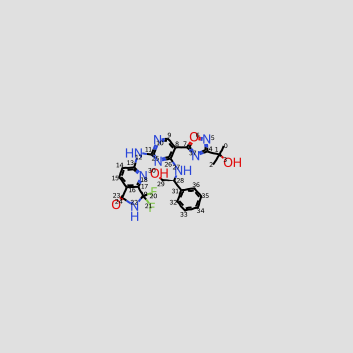 CC(C)(O)c1noc(-c2cnc(Nc3ccc4c(n3)C(F)(F)NC4=O)nc2N[C@H](CO)c2ccccc2)n1